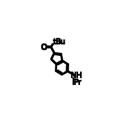 CC(C)Nc1ccc2c(c1)C=C(C(=O)C(C)(C)C)C2